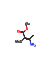 CN/C(C(=O)OC(C)(C)C)=C(/C)N